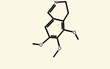 COc1cc2c(c(OC)c1OC)CCN=C2